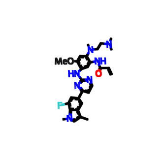 C=CC(=O)Nc1cc(Nc2nccc(-c3cc(F)c4c(c3)c(C)cn4C)n2)c(OC)cc1N(C)CCN(C)C